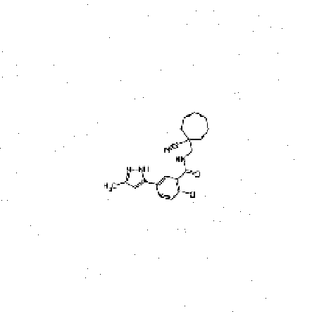 Cc1cc(-c2ccc(Cl)c(C(=O)NCC3(C#N)CCCCCC3)c2)[nH]n1